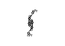 CCC[C@H]1CC[C@H](CCCOc2ccc(COc3ccc4ccccc4c3-c3c(OCc4ccc(OCCC[C@H]5CC[C@H](CCC)CC5)cc4)ccc4ccccc34)cc2)CC1